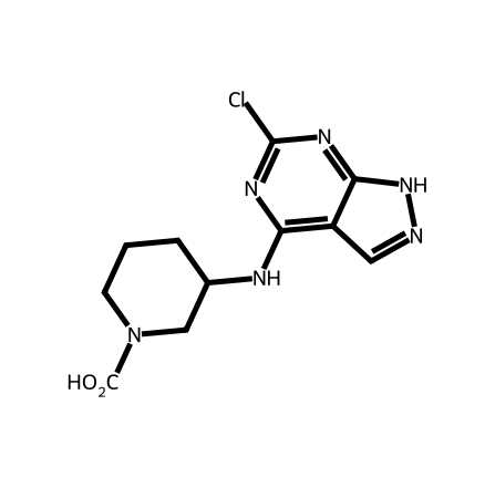 O=C(O)N1CCCC(Nc2nc(Cl)nc3[nH]ncc23)C1